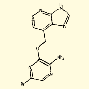 Nc1ncc(Br)nc1OCc1ccnc2[nH]cnc12